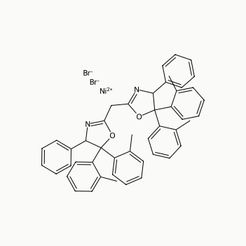 Cc1ccccc1C1(c2ccccc2C)OC(CC2=NC(c3ccccc3)C(c3ccccc3C)(c3ccccc3C)O2)=NC1c1ccccc1.[Br-].[Br-].[Ni+2]